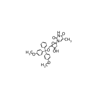 COc1ccc(C(OC[C@H]2O[C@H](n3cc(C)c(=O)[nH]c3=O)C[C@H]2O)(c2ccccc2)c2ccc(OC)cc2)cc1